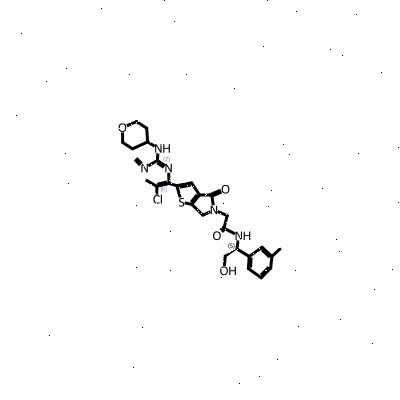 C=N/C(=N\C(=C(/C)Cl)c1cc2c(s1)CN(CC(=O)N[C@H](CO)c1cccc(C)c1)C2=O)NC1CCOCC1